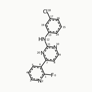 Fc1ncccc1-c1ccnc(Nc2cccc(Cl)c2)n1